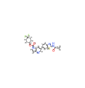 O=C(Nc1nc2ccc(-c3cnc4ccn(C(=O)OC5CCC(F)(F)CC5)c4c3)cc2s1)C1CC1